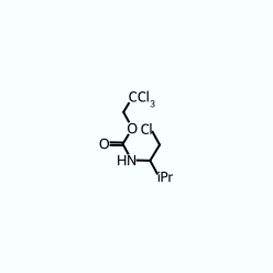 CC(C)C(CCl)NC(=O)OCC(Cl)(Cl)Cl